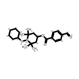 CC1(C)CC(OC(=O)c2ccc(C=O)cc2)CC(C)(C)N1OC1CCCCC1